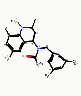 CCOC(=O)N1c2c(C)cc(C(F)(F)F)cc2C(N(Cc2cc(C(F)(F)F)cc(C(F)(F)F)c2)C(=O)OC)CC1C